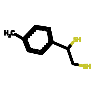 Cc1ccc(C(S)CS)cc1